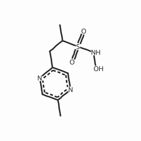 Cc1cnc(CC(C)S(=O)(=O)NO)cn1